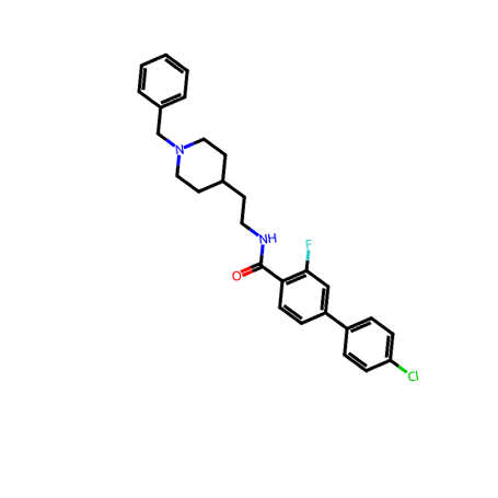 O=C(NCCC1CCN(Cc2ccccc2)CC1)c1ccc(-c2ccc(Cl)cc2)cc1F